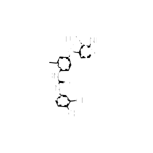 Cc1cc(Oc2ccnc(N)c2N)ccc1NC(=O)Nc1ccc(Cl)c(C(F)(F)F)c1